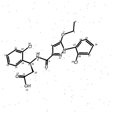 CCOc1cc(C(=O)N[C@@H](CC(=O)O)c2ccccc2Cl)nn1-c1ccccc1Cl